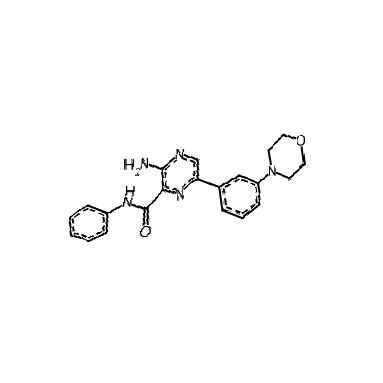 Nc1ncc(-c2cccc(N3CCOCC3)c2)nc1C(=O)Nc1ccccc1